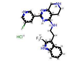 Cl.Fc1cncc(-c2nc3c(c(NCCc4c(C(F)(F)F)[nH]c5ccccc45)n2)CCNC3)c1